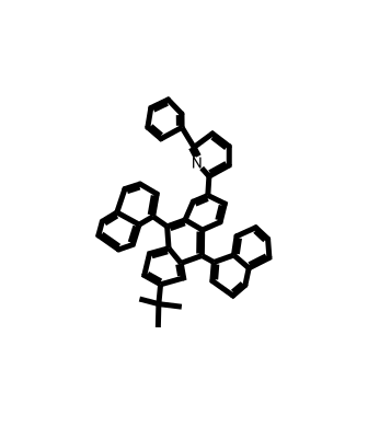 CC(C)(C)c1ccc2c(-c3cccc4ccccc34)c3cc(-c4cccc(-c5ccccc5)n4)ccc3c(-c3cccc4ccccc34)c2c1